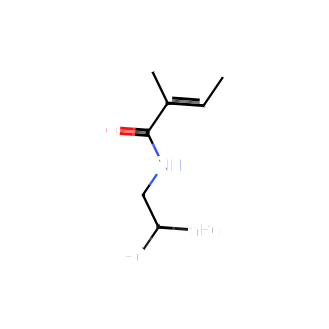 CC=C(C)C(=O)NCC(CC)CCCC